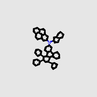 c1ccc(-c2cc(-c3ccccc3)c3c4ccccc4c4cc(N(c5ccc6ccccc6c5)c5cc6ccc7cccc8ccc(c5)c6c78)ccc4c3c2-c2ccccc2)cc1